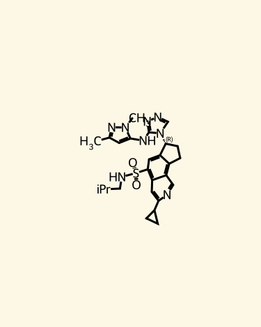 Cc1cc(Nc2nncn2[C@@H]2CCc3c2cc(S(=O)(=O)NCC(C)C)c2cc(C4CC4)ncc32)n(C)n1